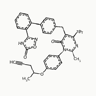 C#CCC(C)Oc1ccc(-n2c(C)nc(CCC)c(Cc3ccc(-c4ccccc4-c4noc(=O)[nH]4)cc3)c2=O)cc1